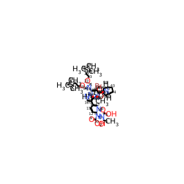 CC(=O)N(C(=O)O)N(C(=O)O)c1ccc(-c2cnn3c(N(COCC[Si](C)(C)C)COCC[Si](C)(C)C)c(Br)c([C@H]4C[C@H]5CC[C@@H](C4)N5C(=O)OC(C)(C)C)nc23)cn1